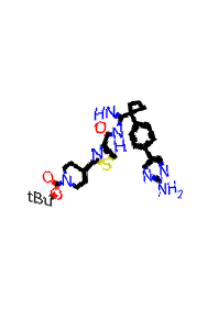 CC(C)(C)OC(=O)N1CCC(c2nc(C(=O)NC(=N)C3(c4ccc(-c5cnc(N)nc5)cc4)CCC3)cs2)CC1